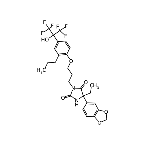 CCCc1cc(C(O)(C(F)(F)F)C(F)(F)F)ccc1OCCCN1C(=O)NC(CC)(c2ccc3c(c2)OCO3)C1=O